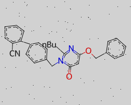 CCCCc1nc(OCc2ccccc2)cc(=O)n1Cc1ccc(-c2ccccc2C#N)cc1